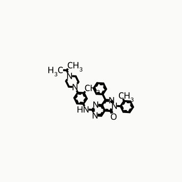 Cc1cc(Nc2ncc3c(=O)n(-c4ccccc4C)nc(-c4ccccc4)c3n2)ccc1N1CCN(C(C)C)CC1